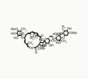 COC[C@@H](C[C@H]1O[C@@](O)([C@H](O)[C@H]2OC(=O)/C(C)=C/C(C)=C/C(C)=C/[C@@H](C)[C@H](O[C@@H]3O[C@@H](C)[C@H](OC)[C@@H](O)[C@@H]3O)/C=C/C(C)=C/CC[C@H](O)[C@@H](OC)[C@@H]2O)[C@H](C)[C@@H](O)[C@H]1C)O[C@H]1C[C@](C)(O)[C@@H](O[C@H]2C[C@@H](OC)[C@H](O)[C@@H](C)O2)[C@H](C)O1